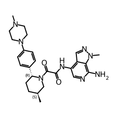 C[C@H]1CC[C@H](c2ccc(N3CCN(C)CC3)cc2)N(C(=O)C(=O)Nc2cnc(N)c3c2cnn3C)C1